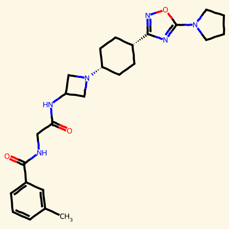 Cc1cccc(C(=O)NCC(=O)NC2CN([C@H]3CC[C@@H](c4noc(N5CCCC5)n4)CC3)C2)c1